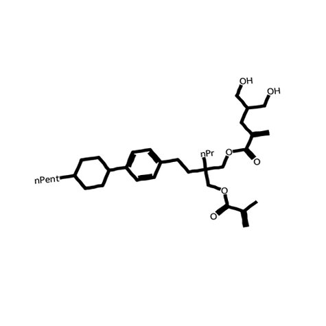 C=C(C)C(=O)OCC(CCC)(CCc1ccc(C2CCC(CCCCC)CC2)cc1)COC(=O)C(=C)CC(CO)CO